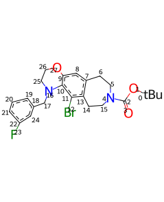 CC(C)(C)OC(=O)N1CCc2cc3c(c(Br)c2CC1)N(Cc1cccc(F)c1)CCO3